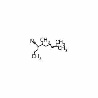 CCCC(C#N)C(C)CCC=C(C)C